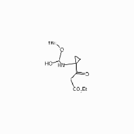 CCOC(=O)CC(=O)C1(NC(O)OC(C)(C)C)CC1